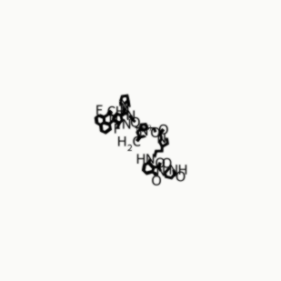 C#Cc1c(F)ccc2cccc(-c3ncc4c(N5CC6CCC(C5)N6)nc(OC[C@@]56CC[C@@H](COC(=O)N7CCC(CCCNc8cccc9c8C(=O)N(C8CCC(=O)NC8=O)C9=O)C7)N5CC(=C)C6)nc4c3F)c12